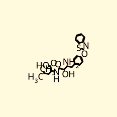 CC(C)CC(NC(=O)[C@@H](O)[C@H](N)Cc1ccc(Oc2nc3ccccc3s2)cc1)C(=O)O